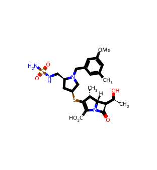 COc1cc(C)cc(CN2C[C@@H](SC3=C(C(=O)O)N4C(=O)[C@H]([C@@H](C)O)[C@H]4[C@H]3C)C[C@H]2CNS(N)(=O)=O)c1